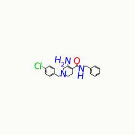 NC1=C(C(=O)NCc2ccccc2)CCN(Cc2ccc(Cl)cc2)C1